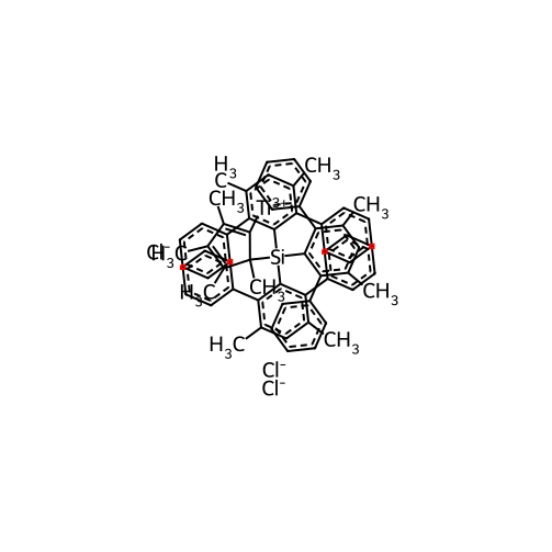 CC1=C(C)C(C)([Si](c2c(-c3ccccc3)c(C)cc(C)c2-c2ccccc2)(c2c(-c3ccccc3)c(C)cc(C)c2-c2ccccc2)c2c(-c3ccccc3)c(C)cc(C)c2-c2ccccc2)[C]([Ti+3])=C1C.[Cl-].[Cl-].[Cl-]